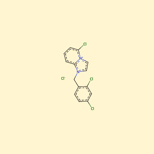 Clc1ccc(Cn2cc[n+]3c(Cl)cccc23)c(Cl)c1.[Cl-]